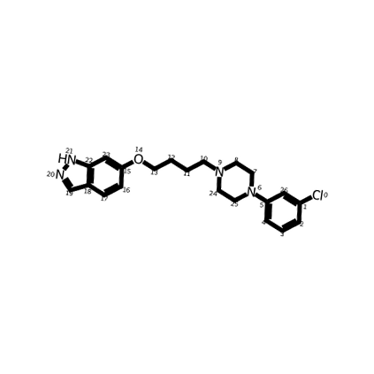 Clc1cccc(N2CCN(CCCCOc3ccc4cn[nH]c4c3)CC2)c1